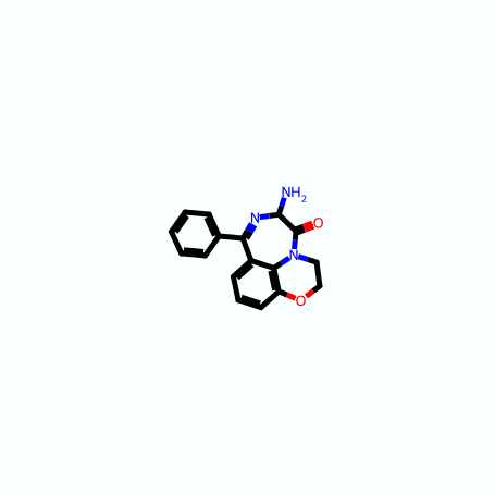 NC1N=C(c2ccccc2)c2cccc3c2N(CCO3)C1=O